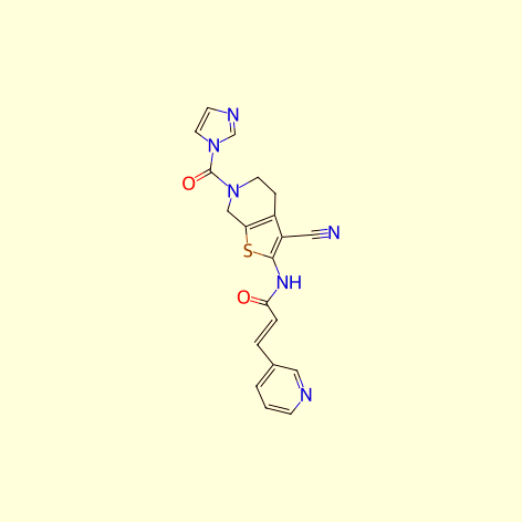 N#Cc1c(NC(=O)C=Cc2cccnc2)sc2c1CCN(C(=O)n1ccnc1)C2